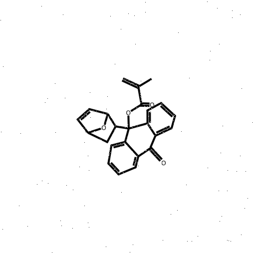 C=C(C)C(=O)OC1(C2CC3C=CC2O3)c2ccccc2C(=O)c2ccccc21